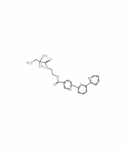 CCC(C)(C)C(=O)OCCOC(=O)c1ccc(-c2cccc(-c3ccccn3)n2)nc1